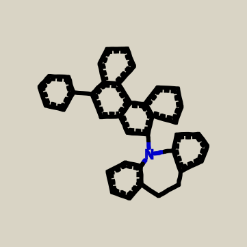 c1ccc(-c2cc3cc(N4c5ccccc5CCc5ccccc54)c4ccccc4c3c3ccccc23)cc1